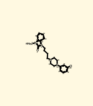 CCCCCCn1c(=O)n(CCCCN2CCN(c3cccc(Cl)c3)CC2)c2ccccc21